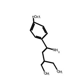 CCCCCCCCc1ccc(C(N)CC(CO)CO)cc1